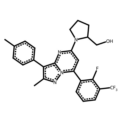 Cc1ccc(-c2c(C)nn3c(-c4cccc(C(F)(F)F)c4F)cc(N4CCCC4CO)nc23)cc1